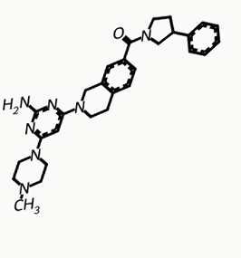 CN1CCN(c2cc(N3CCc4ccc(C(=O)N5CCC(c6ccccc6)C5)cc4C3)nc(N)n2)CC1